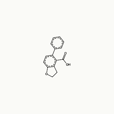 O=C(O)c1c(-c2ccccc2)ccc2c1CCO2